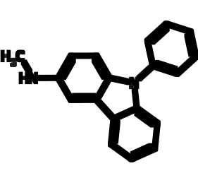 CNc1ccc2c(c1)c1ccccc1n2-c1ccccc1